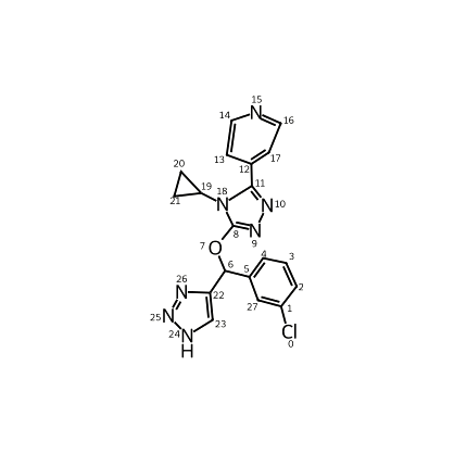 Clc1cccc(C(Oc2nnc(-c3ccncc3)n2C2CC2)c2c[nH]nn2)c1